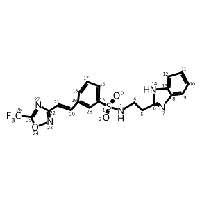 O=S(=O)(NCCc1nc2ccccc2[nH]1)c1cccc(/C=C/c2noc(C(F)(F)F)n2)c1